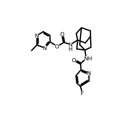 Cc1nccc(OC(=O)NC23CC4CC(C2)CC(NC(=O)c2ccc(F)cn2)(C4)C3)n1